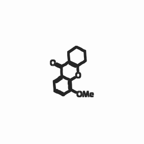 COc1cccc2c(=O)c3c(oc12)CCCC3